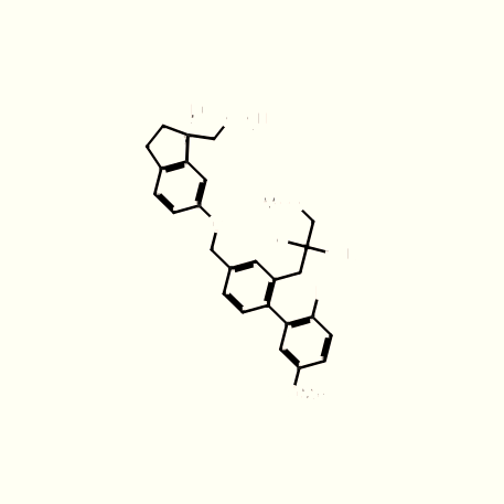 CC[C@@]1(CC(=O)O)CCc2ccc(OCc3ccc(-c4cc(OC)ccc4F)c(CC(C)(C)COC)c3)cc21